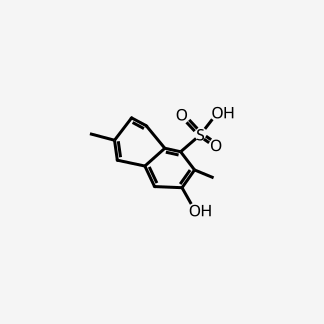 Cc1ccc2c(S(=O)(=O)O)c(C)c(O)cc2c1